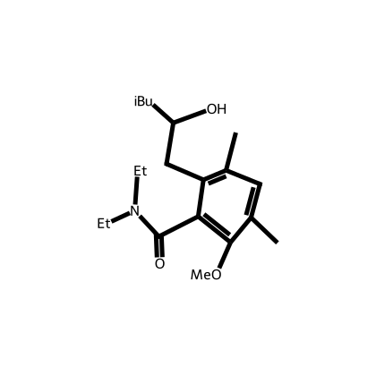 CCC(C)C(O)Cc1c(C)cc(C)c(OC)c1C(=O)N(CC)CC